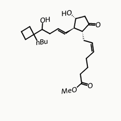 CCCCC1(C(O)C/C=C/[C@H]2[C@H](O)CC(=O)[C@@H]2C/C=C\CCCC(=O)OC)CCC1